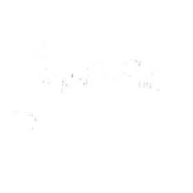 CNC(=O)c1cc(Oc2cccc(NC(=O)Nc3cc(C(F)(F)F)c(Cl)cc3OCCN(C)C)c2)ccn1